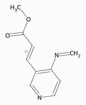 C=Nc1ccncc1/C=C/C(=O)OC